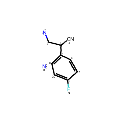 [N].[N]CC(C#N)c1ccc(F)cc1